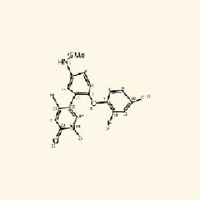 CSNc1ccc(Oc2ccc(F)cc2F)c(-c2cn(C)c(=O)cc2C)c1